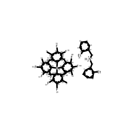 CCc1ccccc1C[NH2+]Cc1ccccc1CC.Cc1c(F)c(F)c(F)c([B-](c2c(F)c(C)c(F)c(F)c2F)(c2c(F)c(C)c(F)c(F)c2F)c2c(F)c(C)c(F)c(F)c2F)c1F